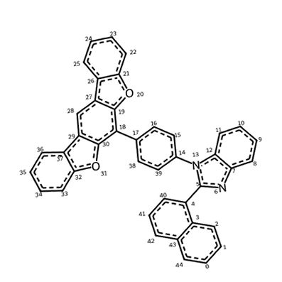 c1ccc2c(-c3nc4ccccc4n3-c3ccc(-c4c5oc6ccccc6c5cc5c4oc4ccccc45)cc3)cccc2c1